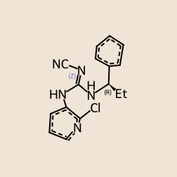 CC[C@@H](N/C(=N/C#N)Nc1cccnc1Cl)c1ccccc1